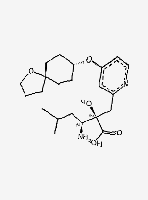 CC(C)C[C@H](N)[C@](O)(Cc1cc(O[C@H]2CC[C@]3(CCCO3)CC2)ccn1)C(=O)O